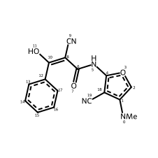 CNc1coc(NC(=O)C(C#N)=C(O)c2ccccc2)c1C#N